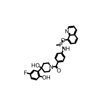 CP(Nc1ccc(C(=O)N2CCC(O)(c3cc(F)ccc3O)CC2)cc1)Oc1cccc2cccnc12